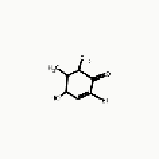 CCC1=CC(O)C(C)C(C)C1=O